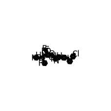 CN1CCN(CC[C@H](CSc2ccccc2F)Nc2ccc(S(=O)(=O)Nc3ncnc4c3CCN(C3CCN(Cc5ccccc5-c5ccc(Cl)cc5)CC3)C4)cc2S(=O)(=O)C(F)(F)F)CC1